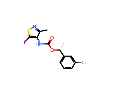 Cc1nsc(I)c1NC(=O)O[C@H](C)c1cccc(Cl)c1